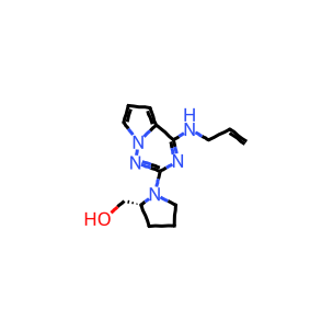 C=CCNc1nc(N2CCC[C@@H]2CO)nn2cccc12